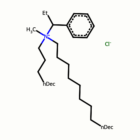 CCCCCCCCCCCCCCCCCC[N+](C)(CCCCCCCCCCCCC)C(CC)c1ccccc1.[Cl-]